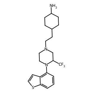 NC1CCC(CCN2CCN(c3cccc4sccc34)C(C(F)(F)F)C2)CC1